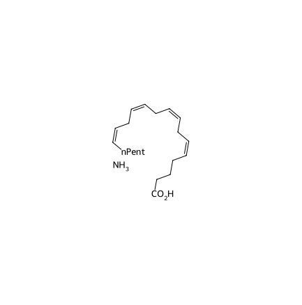 CCCCC/C=C\C/C=C\C/C=C\C/C=C\CCCC(=O)O.N